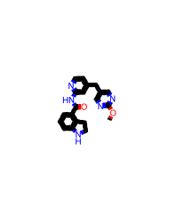 COc1ncc(Cc2ccnc(NC(=O)c3cccc4c3CCN4)c2)cn1